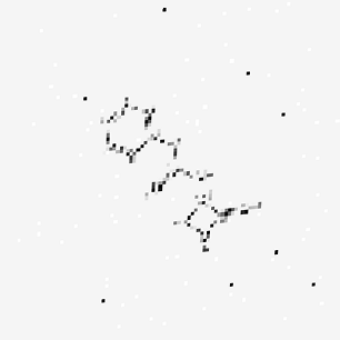 O=C(Cc1ccccc1)N[C@H]1COC1=O